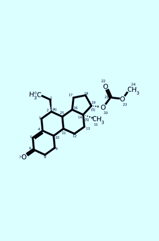 CC[C@@H]1CC2=CC(=O)CCC2C2CC[C@@]3(C)C(CC[C@@H]3OC(=O)OC)C21